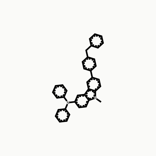 Cn1c2ccc(-c3ccc(Cc4ccccc4)cc3)cc2c2cc(N(c3ccccc3)c3ccccc3)ccc21